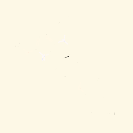 CCOC(=O)c1ccc(OC[C@H]2CC[C@H]([C@H](NC(=O)OC(C)(C)C)C(=O)N(C)C3CCC3)CC2)c(F)c1